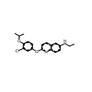 CCNc1ccc2nc(Oc3ccc(OC(C)C)c(Cl)c3)ccc2c1